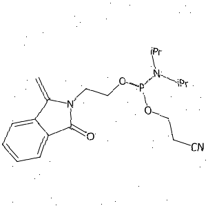 C=C1c2ccccc2C(=O)N1CCOP(OCCC#N)N(C(C)C)C(C)C